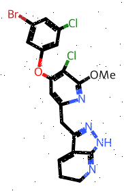 COc1nc(Cc2n[nH]c3c2=CCCN=3)cc(Oc2cc(Cl)cc(Br)c2)c1Cl